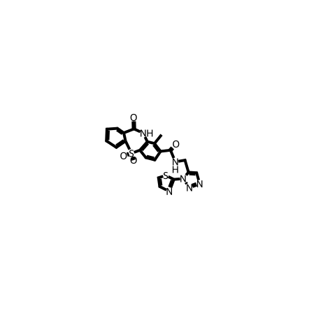 Cc1c(C(=O)NCc2cnnn2-c2nccs2)ccc2c1NC(=O)c1ccccc1S2(=O)=O